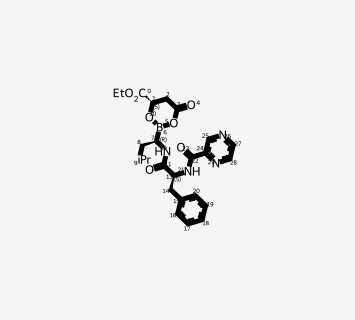 CCOC(=O)[C@@H]1CC(=O)OB([C@H](CC(C)C)NC(=O)[C@H](Cc2ccccc2)NC(=O)c2cnccn2)O1